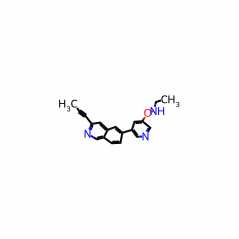 CC#Cc1cc2cc(-c3cncc(ONCC)c3)ccc2cn1